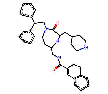 O=C(NCC1CCN(CC(c2ccccc2)c2ccccc2)C(=O)C(CC2CCNCC2)N1)C1=Cc2ccccc2CC1